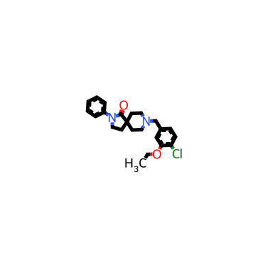 CCOc1cc(CN2CCC3(CC2)CCN(c2ccccc2)C3=O)ccc1Cl